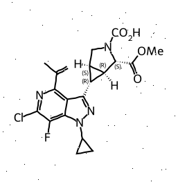 C=C(C)c1nc(Cl)c(F)c2c1c([C@@H]1[C@H]3CN(C(=O)O)[C@H](C(=O)OC)[C@H]31)nn2C1CC1